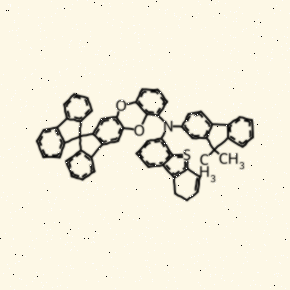 CC1(C)c2ccccc2-c2ccc(N(c3cccc4c3Oc3cc5c(cc3O4)C3(c4ccccc4-c4ccccc43)c3ccccc3-5)c3cccc4c5c(sc34)C=CCC5)cc21